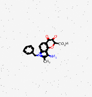 Cc1c(N)c2c3c(ccc2n1Cc1ccccc1)C(=O)C(=O)C(C(=O)O)O3